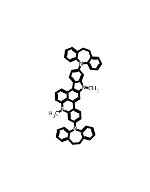 CN1c2cc(N3c4ccccc4CCc4ccccc43)ccc2-c2cc3c(c4cccc1c24)c1ccc(N2c4ccccc4CCc4ccccc42)cc1n3C